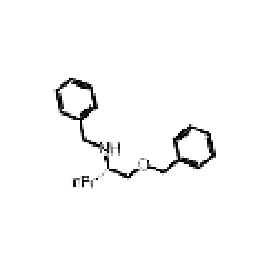 CCC[C@@H](COCc1ccccc1)NCc1ccccc1